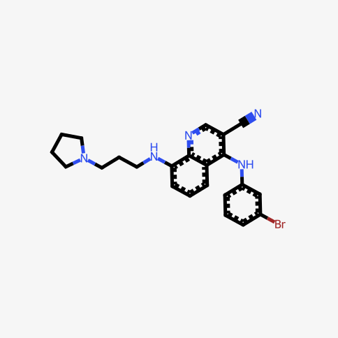 N#Cc1cnc2c(NCCCN3CCCC3)cccc2c1Nc1cccc(Br)c1